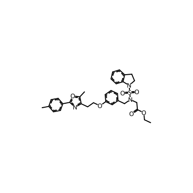 CCOC(=O)CN(Cc1cccc(OCCc2nc(-c3ccc(C)cc3)oc2C)c1)S(=O)(=O)N1CCc2ccccc21